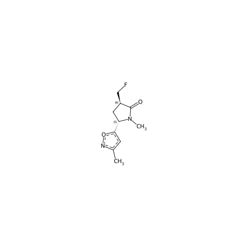 Cc1cc([C@@H]2C[C@@H](CF)C(=O)N2C)on1